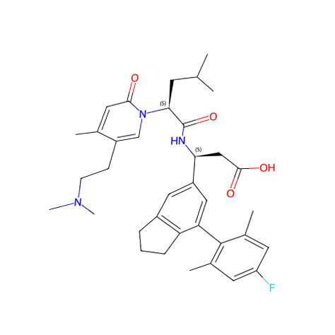 Cc1cc(=O)n([C@@H](CC(C)C)C(=O)N[C@@H](CC(=O)O)c2cc3c(c(-c4c(C)cc(F)cc4C)c2)CCC3)cc1CCN(C)C